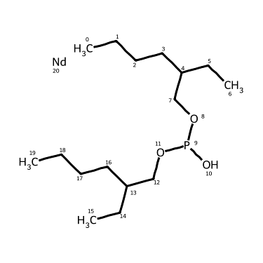 CCCCC(CC)COP(O)OCC(CC)CCCC.[Nd]